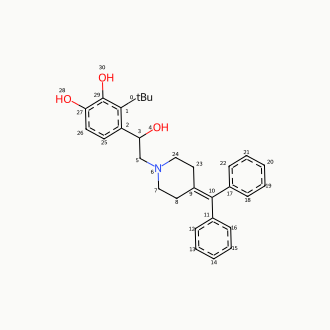 CC(C)(C)c1c(C(O)CN2CCC(=C(c3ccccc3)c3ccccc3)CC2)ccc(O)c1O